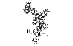 Cc1cc(-c2ccccc2)cc(C)c1-c1ccc2c(c1)c1cccc3c4cc(-c5cc6ccccc6cc5-c5cc(-c6ccccc6)cc(-c6ccc7c(c6)c6cccc8c9ccccc9n7c86)c5)ccc4n2c31